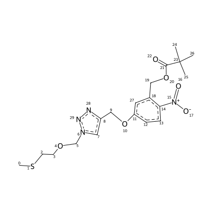 CSCCOCn1cc(COc2ccc([N+](=O)[O-])c(COC(=O)C(C)(C)C)c2)nn1